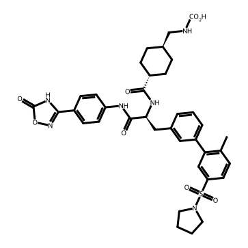 Cc1ccc(S(=O)(=O)N2CCCC2)cc1-c1cccc(C[C@H](NC(=O)[C@H]2CC[C@H](CNC(=O)O)CC2)C(=O)Nc2ccc(-c3noc(=O)[nH]3)cc2)c1